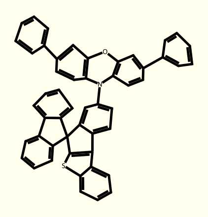 c1ccc(-c2ccc3c(c2)Oc2cc(-c4ccccc4)ccc2N3c2ccc3c(c2)C2(c4ccccc4-c4ccccc42)c2sc4ccccc4c2-3)cc1